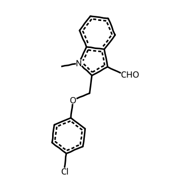 Cn1c(COc2ccc(Cl)cc2)c(C=O)c2ccccc21